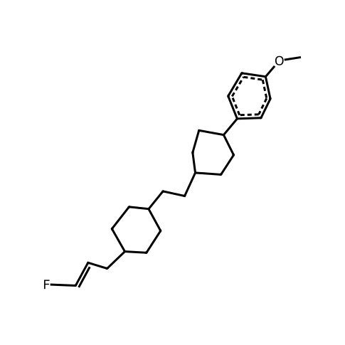 COc1ccc(C2CCC(CCC3CCC(CC=CF)CC3)CC2)cc1